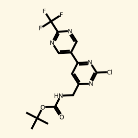 CC(C)(C)OC(=O)NCc1cc(-c2cnc(C(F)(F)F)nc2)nc(Cl)n1